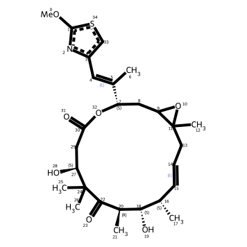 COc1nc(/C=C(\C)[C@@H]2CC3OC3(C)C/C=C/[C@H](C)[C@H](O)[C@@H](C)C(=O)C(C)(C)[C@@H](O)CC(=O)O2)cs1